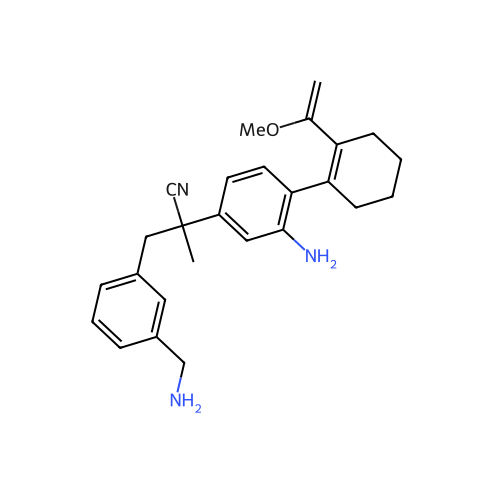 C=C(OC)C1=C(c2ccc(C(C)(C#N)Cc3cccc(CN)c3)cc2N)CCCC1